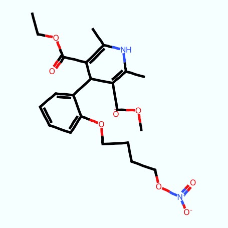 CCOC(=O)C1=C(C)NC(C)=C(C(=O)OC)C1c1ccccc1OCCCCO[N+](=O)[O-]